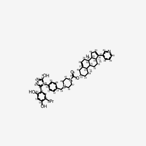 CC(C)c1cc(-c2nnc(O)n2-c2ccc(CN3CCN(C(=O)O[C@H]4CC[C@@]5(C)C(=CC[C@@H]6C5CC[C@]5(C)C(c7cccnc7)=CCC65)C4)CC3)cc2)c(O)cc1O